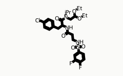 CCOC(CN(C(=O)C(Cc1ccc(Cl)cc1)NC(=O)CCNS(=O)(=O)c1ccc(F)c(F)c1)C(C)C)OCC